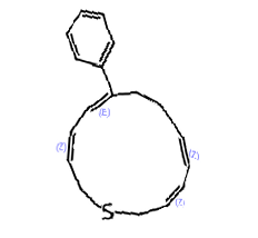 C1=C\CC/C(c2ccccc2)=C\C=C/CSC\C=C/1